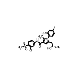 Cc1c(C(=O)Nc2ccc(S(C)(=O)=O)c(Cl)c2)cc(C[C@H](C)O)n1-c1ccc(F)cc1C(F)(F)F